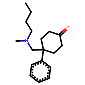 CCCCN(C)CC1(c2ccccc2)CCC(=O)CC1